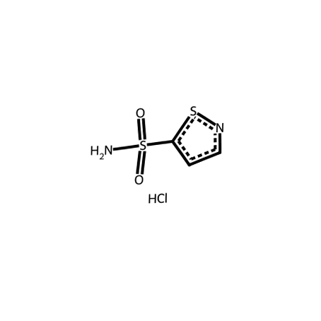 Cl.NS(=O)(=O)c1ccns1